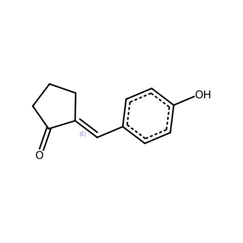 O=C1CCC/C1=C\c1ccc(O)cc1